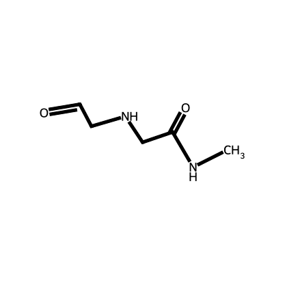 CNC(=O)CNCC=O